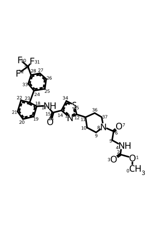 COC(=O)NCC(=O)N1CCC(c2nc(C(=O)Nc3ccccc3-c3cccc(C(F)(F)F)c3)cs2)CC1